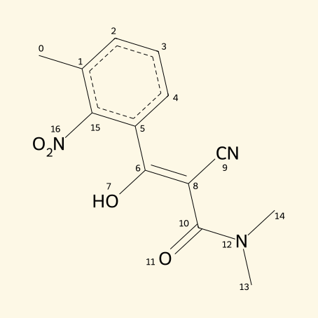 Cc1cccc(/C(O)=C(\C#N)C(=O)N(C)C)c1[N+](=O)[O-]